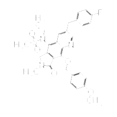 CCN(c1c2c(c(OCc3ccc(OC)cc3)c3ncc(Cc4ccc(F)cc4)cc13)C(=O)N(C)C2)S(C)(=O)=O